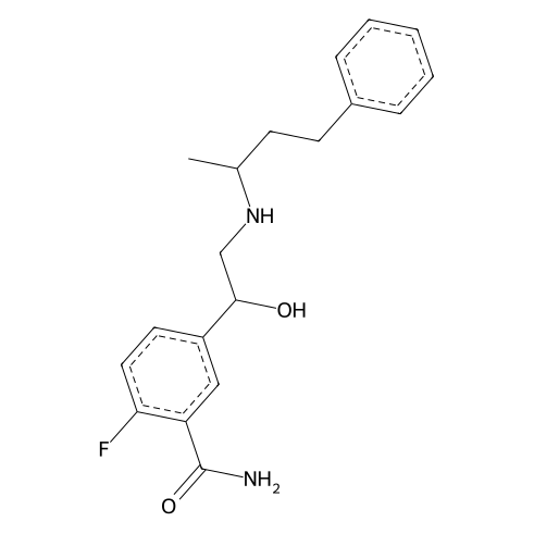 CC(CCc1ccccc1)NCC(O)c1ccc(F)c(C(N)=O)c1